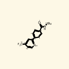 CC(C)(C)NC(=O)c1ccc(-c2cc(C(F)(F)F)ccn2)cc1